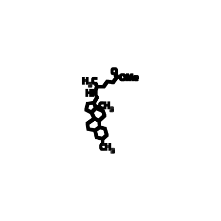 COC(=O)CCCC(C)NCC1CCC2C3CCC4CC(C)CCC4C3CCC12C